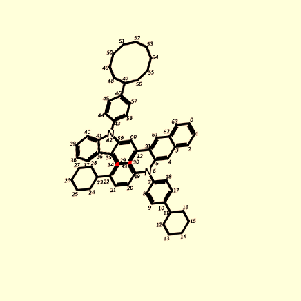 c1ccc2cc(N(c3ccc(C4CCCCC4)cc3)c3ccc(C4CCCCC4)cc3)c(-c3ccc4c5ccccc5n(-c5ccc(C6CCCCCCCCC6)cc5)c4c3)cc2c1